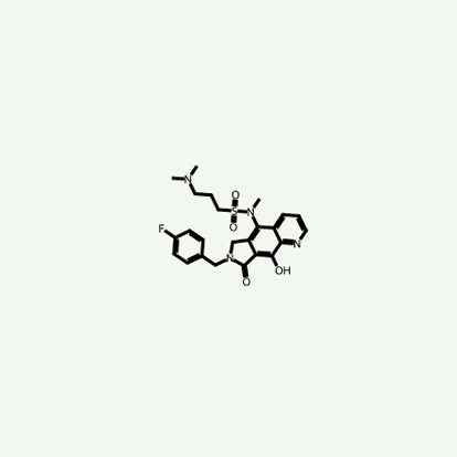 CN(C)CCCS(=O)(=O)N(C)c1c2c(c(O)c3ncccc13)C(=O)N(Cc1ccc(F)cc1)C2